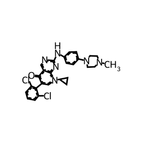 CN1CCN(c2ccc(Nc3ncc4c(=O)c(-c5c(Cl)cccc5Cl)cn(C5CC5)c4n3)cc2)CC1